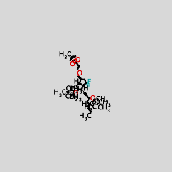 CCCCC[C@@H](C#C[C@H]1[C@H]2[C@H](C[C@H]1O[Si](C)(C)C(C)(C)C)C(=COCCC13OCC(C)(CO1)CO3)CC2(F)F)O[Si](C)(C)C(C)(C)C